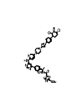 Cc1cc(-c2cc(Nc3ccc(N4CCN(C5CN(c6ccc(C7CCC(=O)NC7=O)cc6)C5)CC4)cn3)ncn2)ccc1[C@@H](C)NC(=O)c1nc(C(C)(C)C)no1